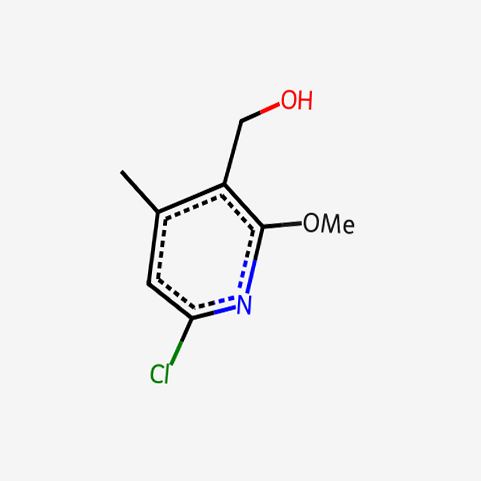 COc1nc(Cl)cc(C)c1CO